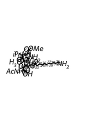 COC(=O)CC[C@H](C(N)=O)N(CC(C)O[C@H]1[C@H](O)[C@@H](COC(=O)CCCCCCCCCCN)O[C@H](O)[C@@H]1NC(C)=O)C(=O)[C@@H](N)C(C)C